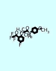 COc1ccc(NC(=O)C(C)(C)Oc2ccc(F)cc2C(=O)C(F)(F)F)cc1